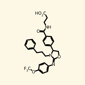 O=C(O)CCNC(=O)c1ccc(C2COC(=Nc3ccc(OC(F)(F)F)cc3)N2CCCc2ccccc2)cc1